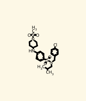 CC(C)CN(Cc1ccc(Cl)cc1)S(=O)(=O)c1ccc(NC2CCN(S(C)(=O)=O)CC2)cc1